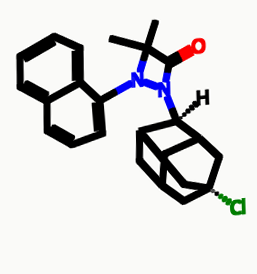 CC1(C)C(=O)N([C@H]2C3CC4CC2C[C@](Cl)(C4)C3)N1c1cccc2ccccc12